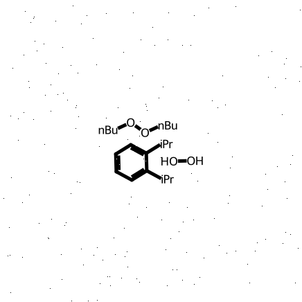 CC(C)c1ccccc1C(C)C.CCCCOOCCCC.OO